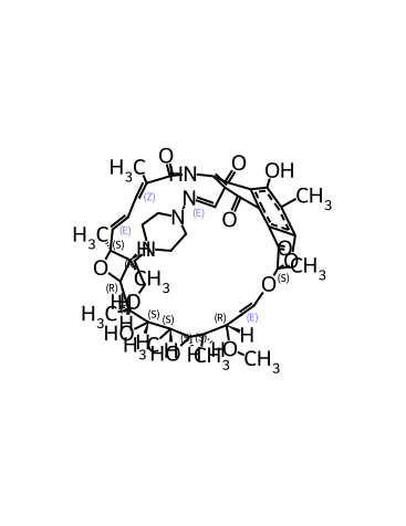 CO[C@H]1/C=C/O[C@@]2(C)Oc3c(C)c(O)c4c(c3C2=O)C(=O)C(/C=N/N2CCN(CCO)CC2)=C(NC(=O)/C(C)=C\C=C\[C@]2(C)O[C@H]([C@@H](C)[C@@H](O)[C@@H](C)[C@H](O)[C@@H]1C)[C@H]2C)C4=O